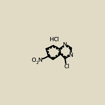 Cl.O=[N+]([O-])c1ccc2ncnc(Cl)c2c1